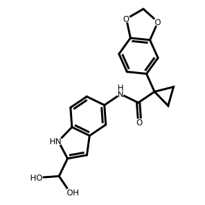 O=C(Nc1ccc2[nH]c(C(O)O)cc2c1)C1(c2ccc3c(c2)OCO3)CC1